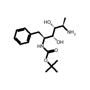 C[C@@H](N)[C@@H](O)[C@H](O)[C@H](Cc1ccccc1)NC(=O)OC(C)(C)C